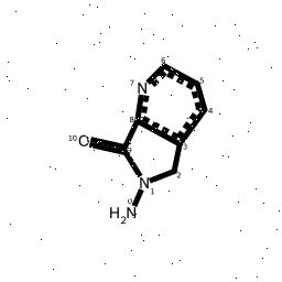 NN1Cc2cccnc2C1=O